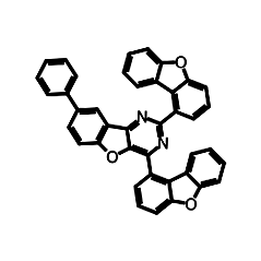 c1ccc(-c2ccc3oc4c(-c5cccc6oc7ccccc7c56)nc(-c5cccc6oc7ccccc7c56)nc4c3c2)cc1